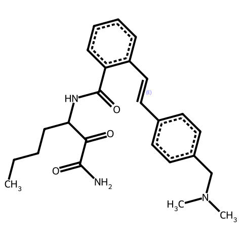 CCCCC(NC(=O)c1ccccc1/C=C/c1ccc(CN(C)C)cc1)C(=O)C(N)=O